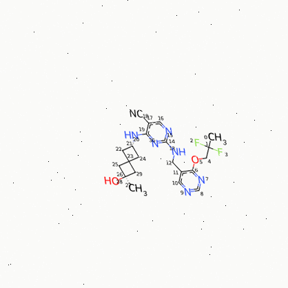 CC(F)(F)COc1ncncc1CNc1ncc(C#N)c(N[C@H]2CC3(C2)C[C@](C)(O)C3)n1